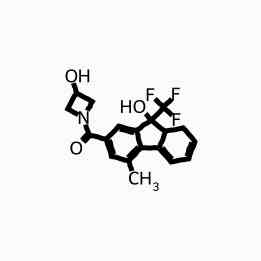 Cc1cc(C(=O)N2CC(O)C2)cc2c1C1=CC=CCC1C2(O)C(F)(F)F